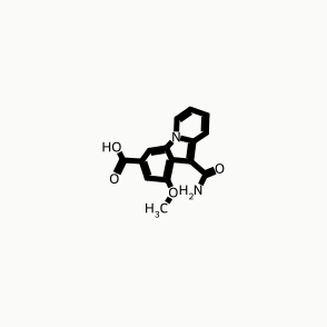 COc1cc(C(=O)O)cc2c1c(C(N)=O)c1ccccn12